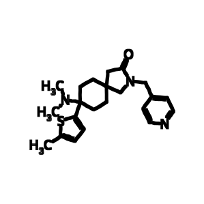 Cc1ccc(C2(N(C)C)CCC3(CC2)CC(=O)N(Cc2ccncc2)C3)s1